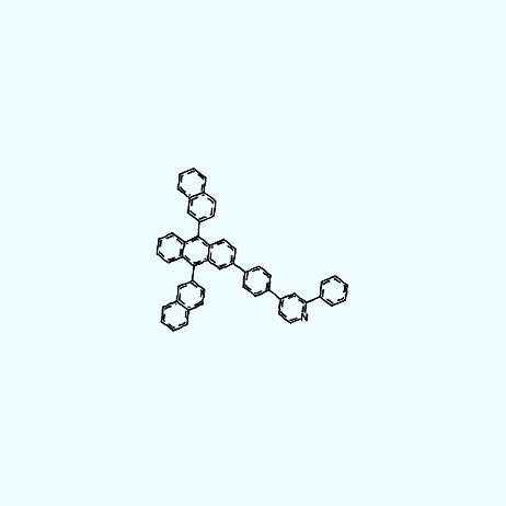 c1ccc(-c2cc(-c3ccc(-c4ccc5c(-c6ccc7ccccc7c6)c6ccccc6c(-c6ccc7ccccc7c6)c5c4)cc3)ccn2)cc1